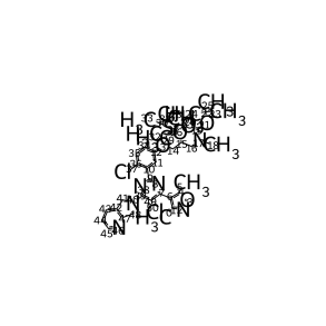 Cc1noc(C)c1-c1nc(-c2cc(OCC(CN(C)C(=O)OC(C)(C)C)O[Si](C)(C)C(C)(C)C)ccc2Cl)nc(N2Cc3cccnc3C2)c1Cl